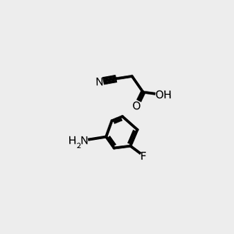 N#CCC(=O)O.Nc1cccc(F)c1